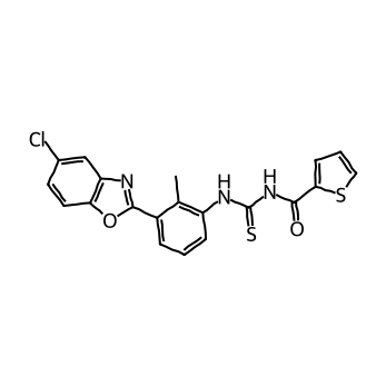 Cc1c(NC(=S)NC(=O)c2cccs2)cccc1-c1nc2cc(Cl)ccc2o1